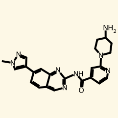 Cn1cc(-c2ccc3cnc(NC(=O)c4ccnc(N5CCC(N)CC5)c4)nc3c2)cn1